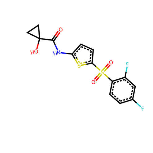 O=C(Nc1ccc(S(=O)(=O)c2ccc(F)cc2F)s1)C1(O)CC1